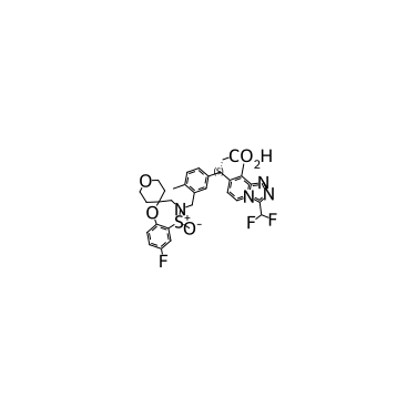 Cc1ccc([C@H](CC(=O)O)c2ccn3c(C(F)F)nnc3c2C)cc1CN1CC2(CCOCC2)Oc2ccc(F)cc2[S+]1[O-]